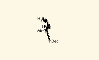 CCCCCCCCCCCCCCCCOCC(COP(=O)(O)OCCN1CCN(C)CC1)OC